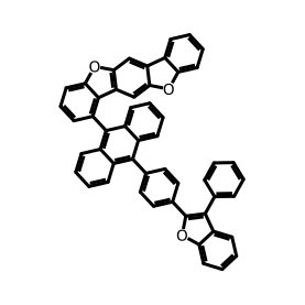 c1ccc(-c2c(-c3ccc(-c4c5ccccc5c(-c5cccc6oc7cc8c(cc7c56)oc5ccccc58)c5ccccc45)cc3)oc3ccccc23)cc1